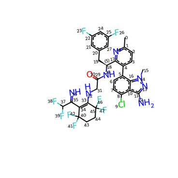 Cc1ccc(-c2ccc(Cl)c3c(N)nn(C)c23)c([C@H](Cc2cc(F)cc(F)c2)NC(=O)CNC2=C(C(=N)C(F)F)C(F)(F)CCC2(F)F)n1